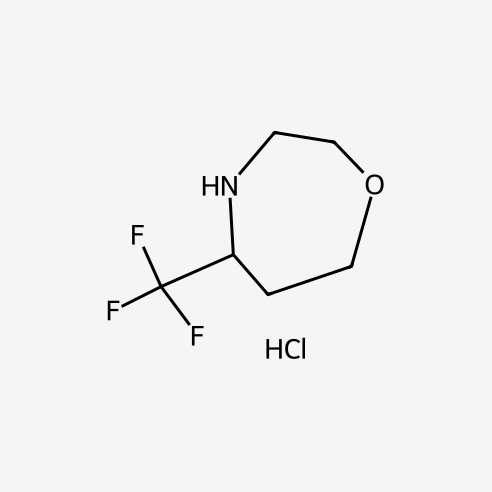 Cl.FC(F)(F)C1CCOCCN1